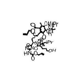 C=CCOC(=O)Nc1noc(C(CSCc2c(O[SiH](C)C(C)(C)C(C)C)c(O[SiH](C)C(C)(C)C(C)C)c(OC)c(C)c2C(=O)OCC=C)NC(=O)CCCCO)n1